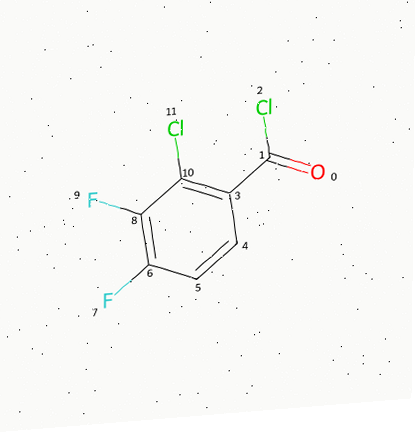 O=C(Cl)c1ccc(F)c(F)c1Cl